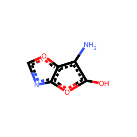 Nc1c(O)oc2ncoc12